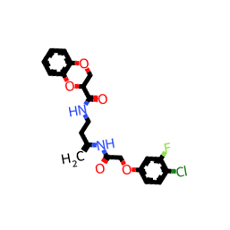 C=C(CCNC(=O)C1COc2ccccc2O1)NC(=O)COc1ccc(Cl)c(F)c1